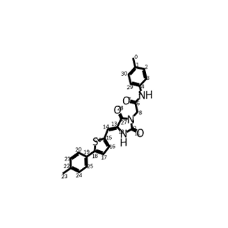 Cc1ccc(NC(=O)CN2C(=O)N/C(=C\c3ccc(-c4ccc(C)cc4)s3)C2=O)cc1